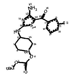 CC(C)(C)OC(=O)ON1CCC(Nc2nc(N)c(C(=O)c3cccc(F)c3)s2)CC1